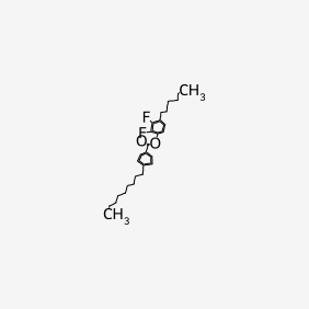 CCCCCCCCCc1ccc(C(=O)Oc2ccc(CCCCCC)c(F)c2F)cc1